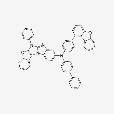 c1ccc(-c2ccc(N(c3ccc(-c4cccc5oc6ccccc6c45)cc3)c3ccc4c(c3)nc3n(-c5ccccc5)c5oc6ccccc6c5n43)cc2)cc1